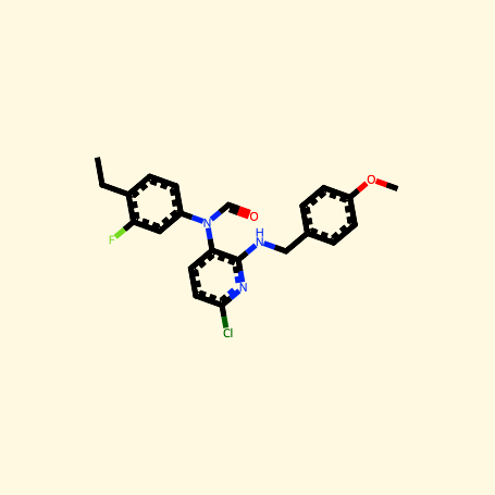 CCc1ccc(N(C=O)c2ccc(Cl)nc2NCc2ccc(OC)cc2)cc1F